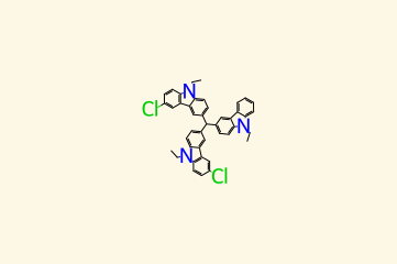 CCn1c2ccccc2c2cc(C(c3ccc4c(c3)c3cc(Cl)ccc3n4CC)c3ccc4c(c3)c3cc(Cl)ccc3n4CC)ccc21